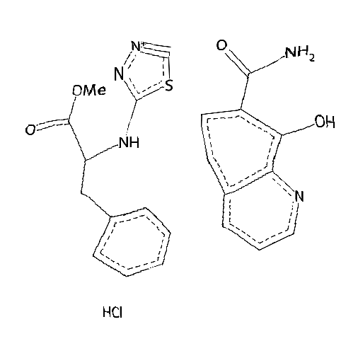 COC(=O)C(Cc1ccccc1)Nc1n[n+]#cs1.Cl.NC(=O)c1ccc2cccnc2c1O